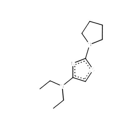 CCN(CC)c1csc(N2CCCC2)n1